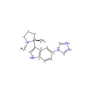 CN1CCC[C@]1(C)c1c[nH]c2ccc(-n3cnnc3)cc12